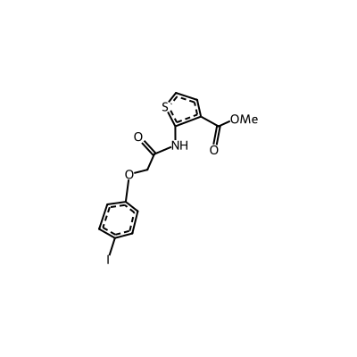 COC(=O)c1ccsc1NC(=O)COc1ccc(I)cc1